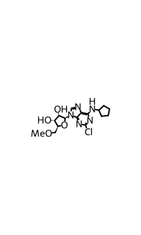 COC[C@@H]1O[C@H](n2cnc3c(NC4CCCC4)nc(Cl)nc32)[C@@H](O)[C@H]1O